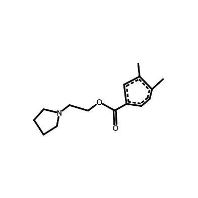 Cc1ccc(C(=O)OCCN2CCCC2)cc1C